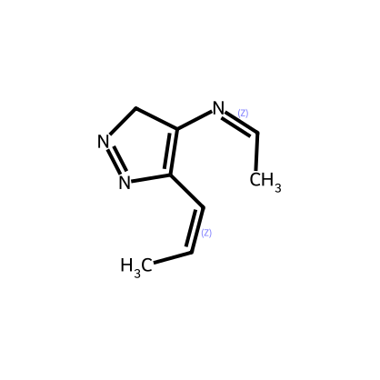 C/C=C\C1=C(/N=C\C)CN=N1